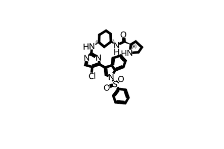 O=C(N[C@H]1CCC[C@@H](Nc2ncc(Cl)c(-c3cn(S(=O)(=O)c4ccccc4)c4ccccc34)n2)C1)[C@H]1CCCN1